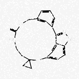 O=C1NCCC2(CC2)Oc2ccc3[nH]nc(c3c2)-c2cccc(c2)CO1